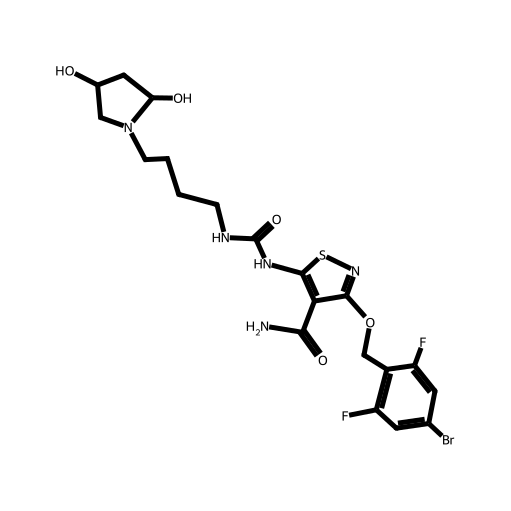 NC(=O)c1c(OCc2c(F)cc(Br)cc2F)nsc1NC(=O)NCCCCN1CC(O)CC1O